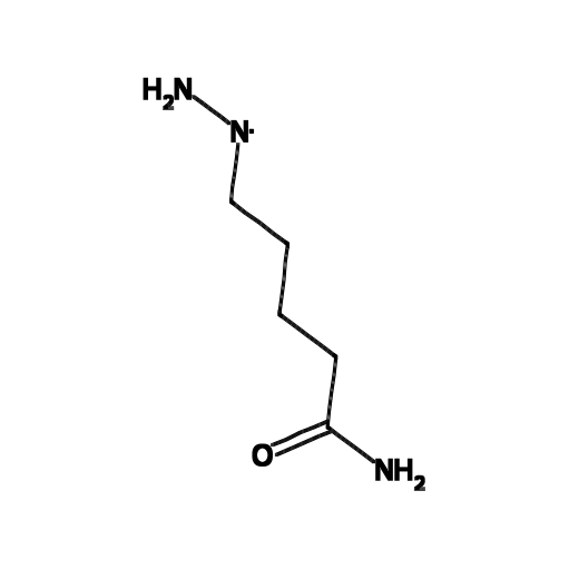 N[N]CCCCC(N)=O